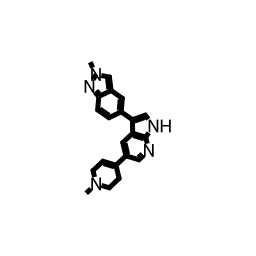 CN1CC=C(c2cnc3[nH]cc(-c4ccc5nn(C)cc5c4)c3c2)CC1